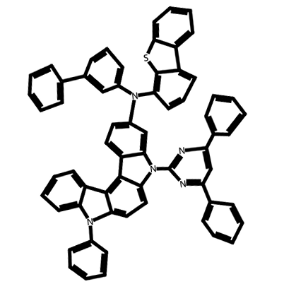 c1ccc(-c2cccc(N(c3ccc4c5c6c7ccccc7n(-c7ccccc7)c6ccc5n(-c5nc(-c6ccccc6)cc(-c6ccccc6)n5)c4c3)c3cccc4c3sc3ccccc34)c2)cc1